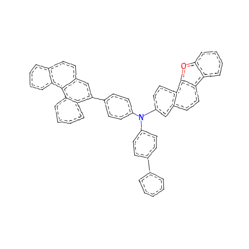 c1ccc(-c2ccc(N(c3ccc(-c4cc5ccc6ccccc6c5c5ccccc45)cc3)c3ccc4c(ccc5c6ccccc6oc45)c3)cc2)cc1